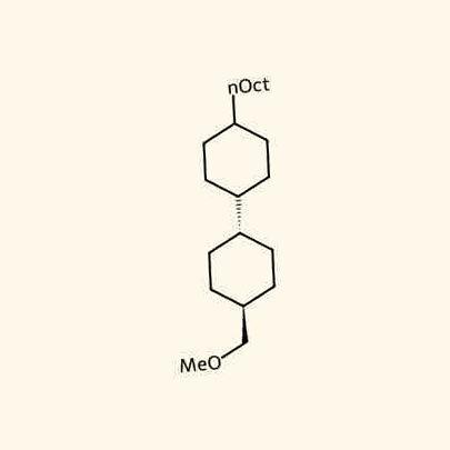 CCCCCCCCC1CCC([C@H]2CC[C@H](COC)CC2)CC1